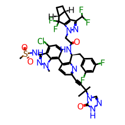 Cn1nc(NS(C)(=O)=O)c2c(Cl)ccc(-c3ccc(C#CC(C)(C)n4cn[nH]c4=O)nc3[C@H](Cc3cc(F)cc(F)c3)NC(=O)Cn3nc(C(F)F)c4c3C(F)(F)[C@@H]3CC[C@H]43)c21